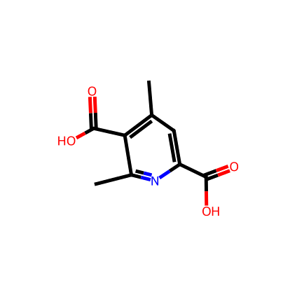 Cc1cc(C(=O)O)nc(C)c1C(=O)O